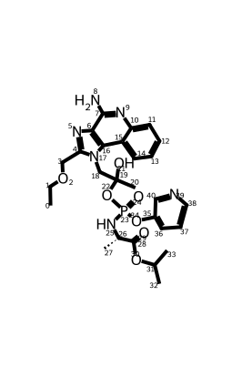 CCOCc1nc2c(N)nc3ccccc3c2n1CC(C)(O)OP(=O)(N[C@@H](C)C(=O)OC(C)C)Oc1cccnc1